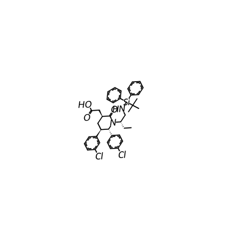 CC[C@@H](CN[Si](c1ccccc1)(c1ccccc1)C(C)(C)C)N1C(=O)[C@H](CC(=O)O)C[C@H](c2cccc(Cl)c2)[C@H]1c1ccc(Cl)cc1